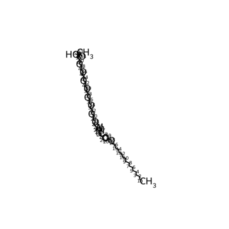 CCCCCCCCCCCCCCCCCCOc1ccc(Cn2cc(COCCOCCOCCOCCOCCOCCOCCOCCP(C)(=O)O)nn2)cc1